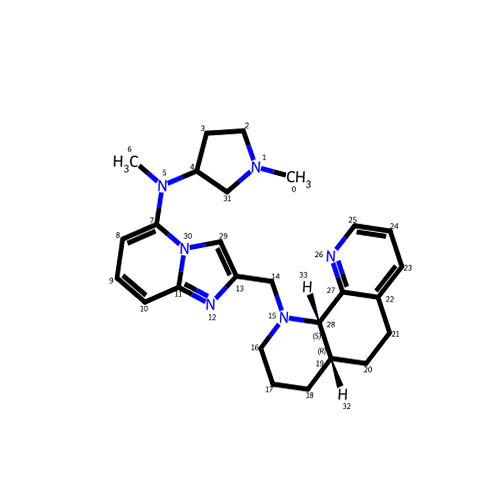 CN1CCC(N(C)c2cccc3nc(CN4CCC[C@H]5CCc6cccnc6[C@H]54)cn23)C1